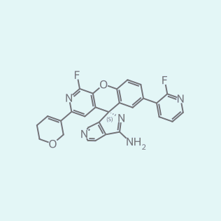 NC1=N[C@]2(c3cc(-c4cccnc4F)ccc3Oc3c2cc(C2=CCCOC2)nc3F)c2cnccc21